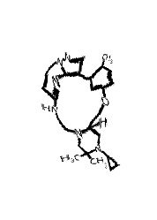 Cc1ccc2cc1-c1cnn3ccc(nc13)NCCN1CC(C)(C)N(C3CC3)C[C@H]1CO2